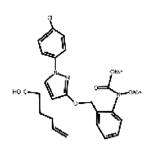 C=CCCCC(=O)O.COC(=O)N(OC)c1ccccc1COc1ccn(-c2ccc(Cl)cc2)n1